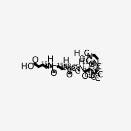 CN1CCN([13CH2][13CH]2[13CH2][13CH2][13CH2][15N]2CC(=O)[15NH][13CH2][13CH2][13C](=O)[15NH]CC[13C](=O)[15NH]CCCC(=O)O)[13CH2][13CH2]1